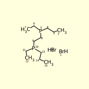 Br.Br.CCCP(CC)CCP(CC)CCC